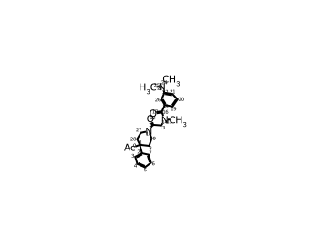 CC(=O)C1(c2ccccc2)CCN(C(=O)CN(C)C(=O)c2cccc(N(C)C)c2)CC1